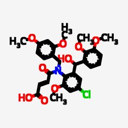 COc1ccc(CN(C(=O)C=CC(=O)O)c2c(OC)cc(Cl)cc2C(O)c2cccc(OC)c2OC)c(OC)c1